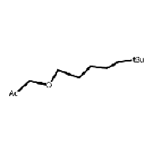 CC(=O)COCCCCCC(C)(C)C